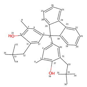 Cc1cc(C2(c3cc(C)c(O)c(CC(C)(C)C)c3)c3ccccc3-c3ccccc32)cc(CC(C)(C)C)c1O